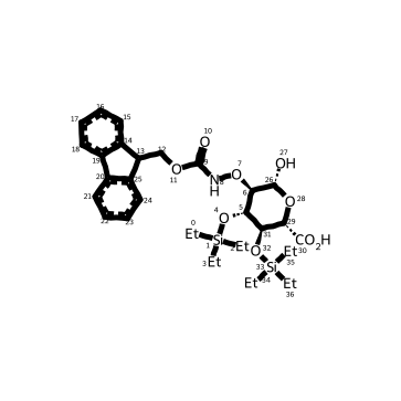 CC[Si](CC)(CC)O[C@@H]1[C@@H](ONC(=O)OCC2c3ccccc3-c3ccccc32)[C@H](O)O[C@H](C(=O)O)[C@H]1O[Si](CC)(CC)CC